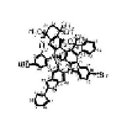 CC(C)(C)c1ccc(Nc2cc3c(cc2-c2c4c(c5c6cc(C(C)(C)C)ccc6n6c5c2Bc2cc5cc(-c7ccccc7)sc5cc2-6)-c2ccccc2C4(C)C)C(C)(C)CCC3(C)C)cc1